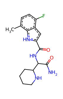 Cc1ccc(F)c2cc(C(=O)NC(C(N)=O)C3CCCCN3)[nH]c12